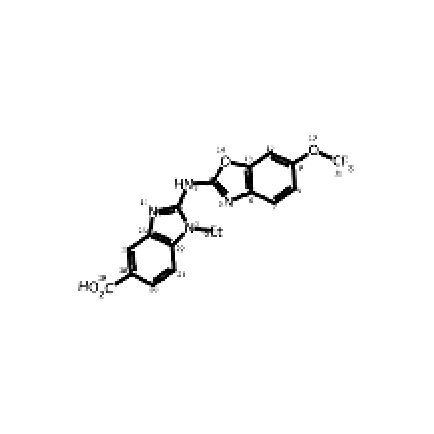 CCn1c(Nc2nc3ccc(OC(F)(F)F)cc3o2)nc2cc(C(=O)O)ccc21